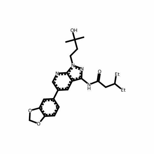 CCC(CC)CC(=O)Nc1nn(CCC(C)(C)O)c2ncc(-c3ccc4c(c3)OCO4)cc12